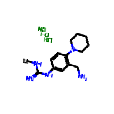 CCNC(=N)Nc1ccc(N2CCCCC2)c(CN)c1.Cl.Cl.Cl